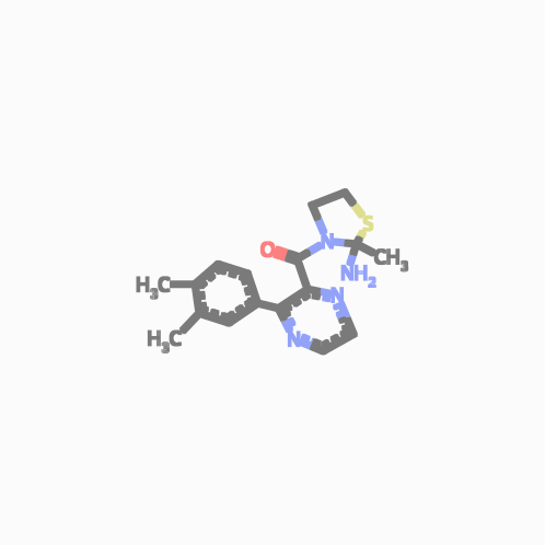 Cc1ccc(-c2nccnc2C(=O)N2CCSC2(C)N)cc1C